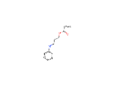 CCCCCC(=O)OCCC=Nc1ccccc1